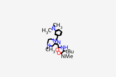 CNC(=O)C(NC(=O)c1nc(-c2cccc(N(C)C)c2)n2c1CN(C)CCC2)C(C)(C)C